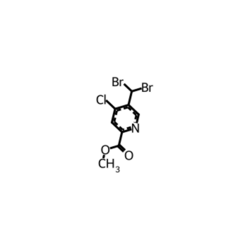 COC(=O)c1cc(Cl)c(C(Br)Br)cn1